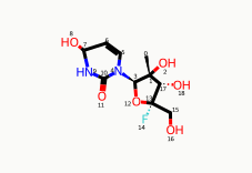 C[C@]1(O)[C@H](N2C=CC(O)NC2=O)O[C@](F)(CO)[C@H]1O